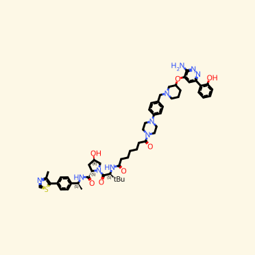 Cc1ncsc1-c1ccc([C@H](C)NC(=O)[C@@H]2C[C@@H](O)CN2C(=O)[C@@H](NC(=O)CCCCCC(=O)N2CCN(c3ccc(CN4CCCC(Oc5cc(-c6ccccc6O)nnc5N)C4)cc3)CC2)C(C)(C)C)cc1